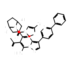 CC(=O)c1c(C2C[C@H]3CC[C@@H](C2)N3C(=O)N2C=C(N)SC2)nc2c(-c3ccc(-c4ccccc4)nc3)cnn2c1N